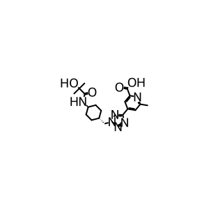 Cc1cc(-c2nnn(C[C@H]3CC[C@H](NC(=O)C(C)(C)O)CC3)n2)cc(C(=O)O)n1